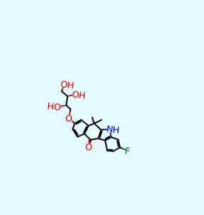 CC1(C)c2cc(OC[C@@H](O)[C@H](O)CO)ccc2C(=O)c2c1[nH]c1cc(F)ccc21